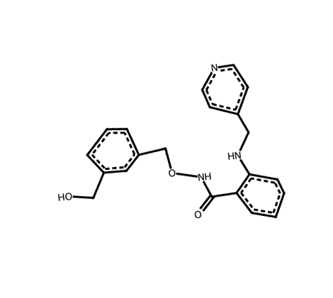 O=C(NOCc1cccc(CO)c1)c1ccccc1NCc1ccncc1